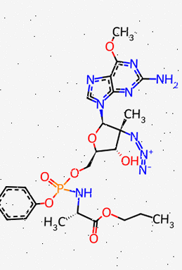 CCCOC(=O)[C@H](C)NP(=O)(OC[C@H]1O[C@@H](n2cnc3c(OC)nc(N)nc32)[C@](C)(N=[N+]=[N-])[C@@H]1O)Oc1ccccc1